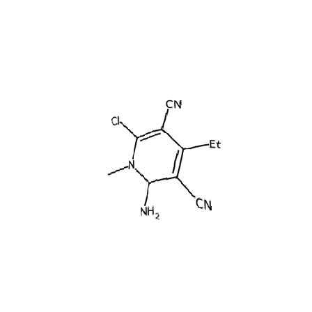 CCC1=C(C#N)C(N)N(C)C(Cl)=C1C#N